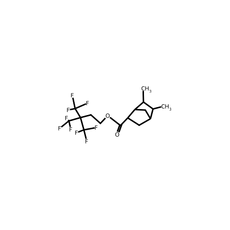 CC1C2CC(C(=O)OCCC(C(F)(F)F)(C(F)(F)F)C(F)(F)F)C(C2)C1C